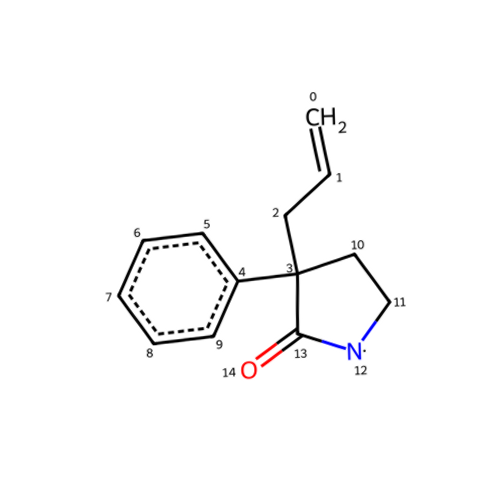 C=CCC1(c2ccccc2)CC[N]C1=O